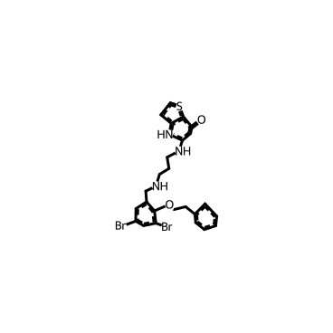 O=c1cc(NCCCNCc2cc(Br)cc(Br)c2OCCc2ccccc2)[nH]c2ccsc12